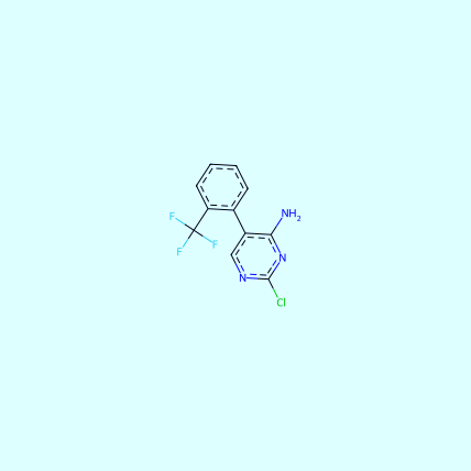 Nc1nc(Cl)ncc1-c1ccccc1C(F)(F)F